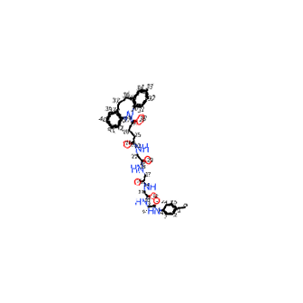 Cc1ccc(NC(=O)[C@H](C)NC(=O)CNC(=O)CNC(=O)CNC(=O)CCC(=O)N2c3ccccc3CCc3ccccc32)cc1